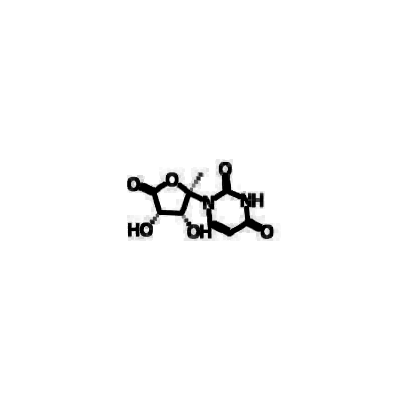 C[C@@]1(n2ccc(=O)[nH]c2=O)OC(=O)[C@@H](O)[C@H]1O